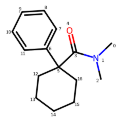 CN(C)C(=O)C1(c2cc[c]cc2)CCCCC1